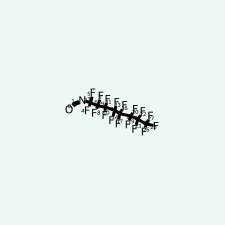 O=C=NC(F)(F)C(F)(F)C(F)(F)C(F)(F)C(F)(F)C(F)(F)C(F)(F)C(F)(F)F